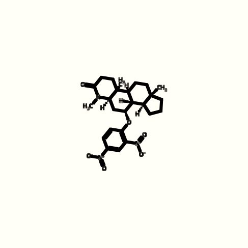 CN1C(=O)CC[C@]2(C)[C@H]3CC[C@]4(C)CCC[C@H]4[C@@H]3[C@@H](Oc3ccc([N+](=O)[O-])cc3[N+](=O)[O-])C[C@@H]12